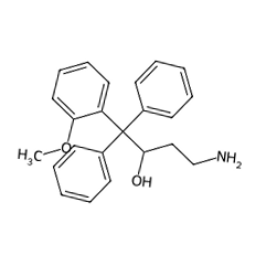 COc1ccccc1C(c1ccccc1)(c1ccccc1)C(O)CCN